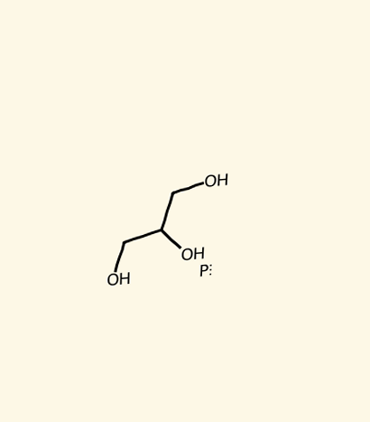 OCC(O)CO.[P]